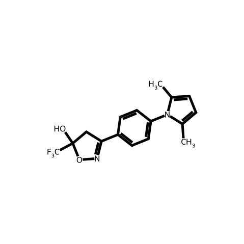 Cc1ccc(C)n1-c1ccc(C2=NOC(O)(C(F)(F)F)C2)cc1